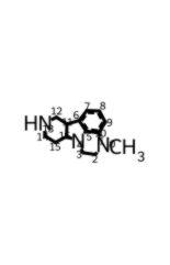 CN1CCN2c3c(cccc31)C1CNCCC12